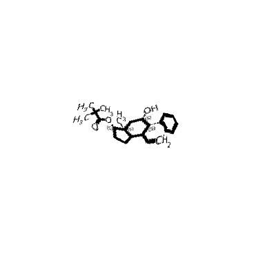 C=CC1C2CC[C@H](OC(=O)C(C)(C)C)[C@@]2(C)C[C@H](O)[C@@H]1c1ccccc1